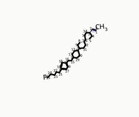 C/C=C/[C@H]1CC[C@H]([C@H]2CC[C@H](C3CCC(CCc4ccc(CCCCCF)cc4)CC3)CC2)CC1